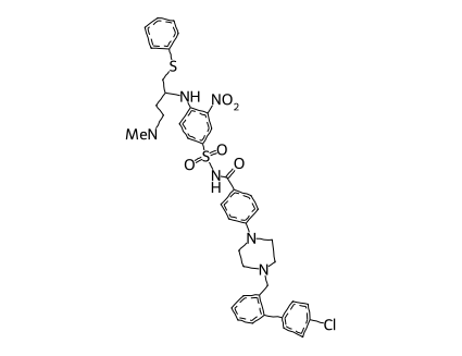 CNCCC(CSc1ccccc1)Nc1ccc(S(=O)(=O)NC(=O)c2ccc(N3CCN(Cc4ccccc4-c4ccc(Cl)cc4)CC3)cc2)cc1[N+](=O)[O-]